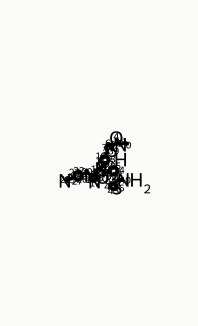 CCNC(=O)c1ccc(-c2ccc(N(Cc3cncn3Cc3ccc(C#N)cc3)C(=O)c3ccccc3)cc2)s1.NCc1cccs1